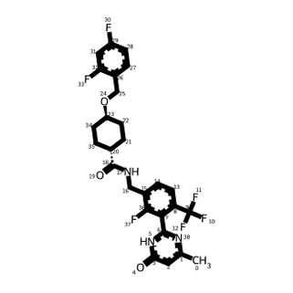 Cc1cc(=O)[nH]c(-c2c(C(F)(F)F)ccc(CNC(=O)[C@H]3CC[C@H](OCc4ccc(F)cc4F)CC3)c2F)n1